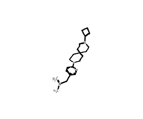 CN(C)Cc1ccc(N2CCC3(CC2)CCN(C2CCC2)CC3)nc1